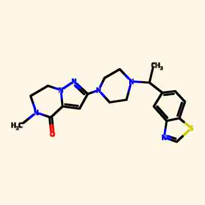 CC(c1ccc2scnc2c1)N1CCN(c2cc3n(n2)CCN(C)C3=O)CC1